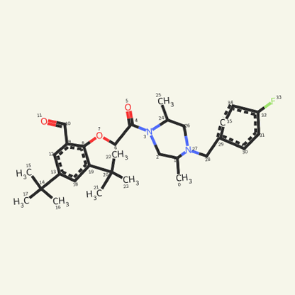 CC1CN(C(=O)COc2c(C=O)cc(C(C)(C)C)cc2C(C)(C)C)C(C)CN1Cc1ccc(F)cc1